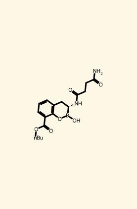 CCCCOC(=O)c1cccc2c1OB(O)[C@@H](NC(=O)CCC(N)=O)C2